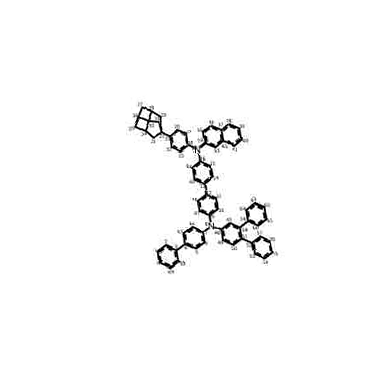 c1ccc(-c2ccc(N(c3ccc(-c4ccc(N(c5ccc(C67CC8CC9CC(C6)C98C7)cc5)c5ccc6ccccc6c5)cc4)cc3)c3ccc(-c4ccccc4)c(-c4ccccc4)c3)cc2)cc1